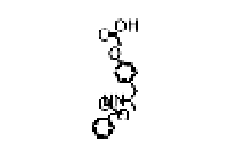 CC(Cc1ccc(OCC(=O)O)cc1)NS(=O)(=O)c1ccccc1